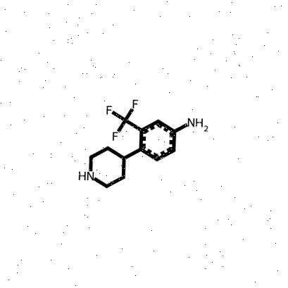 Nc1ccc(C2CCNCC2)c(C(F)(F)F)c1